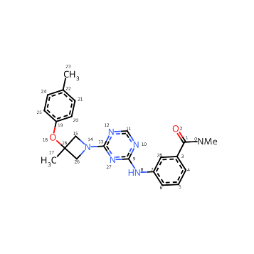 CNC(=O)c1cccc(Nc2ncnc(N3CC(C)(Oc4ccc(C)cc4)C3)n2)c1